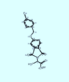 COC(=O)C(C)N1C(=O)c2ccc(OCc3ccc(F)cc3)cc2C1=O